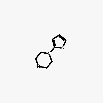 [c]1ccc(N2CC[N]CC2)s1